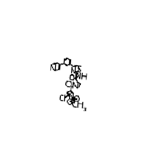 CS(=O)(=O)n1cc(C(=O)N2CCC2C(=O)Nc2nc(-c3cccc(-c4ccncc4)c3)cs2)cc1Cl